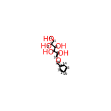 OC[C@@H](O)[C@@H](O)[C@H](O)/C(O)=C/OCc1ccccc1